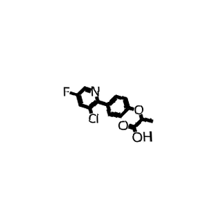 CC(Oc1ccc(-c2ncc(F)cc2Cl)cc1)C(=O)O